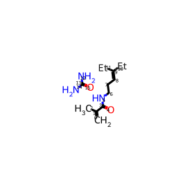 C=C(C)C(=O)NCCC=C(CC)CC.NC(N)=O